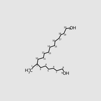 CCC(CCCCCCO)CCCCCCCCCCCO